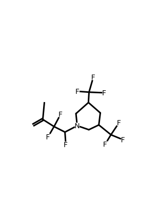 C=C(C)C(F)(F)C(F)N1CC(C(F)(F)F)CC(C(F)(F)F)C1